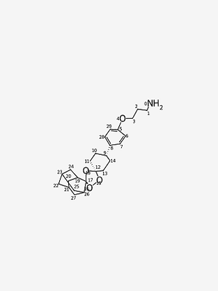 NCCCOc1ccc([C@H]2CC[C@]3(CC2)OO[C@]2(O3)C3CC4CC(C3)CC2C4)cc1